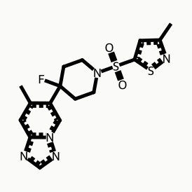 Cc1cc(S(=O)(=O)N2CCC(F)(c3cn4ncnc4cc3C)CC2)sn1